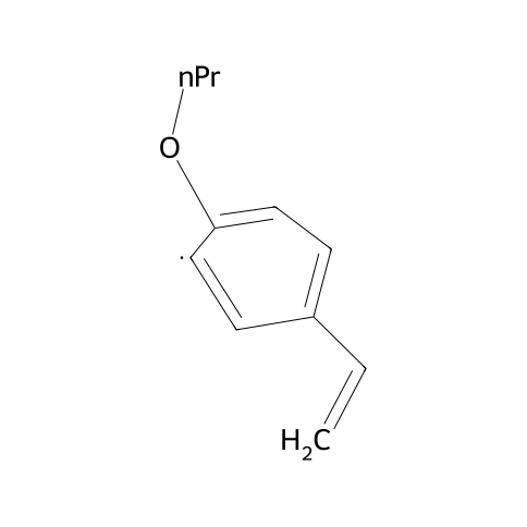 C=Cc1c[c]c(OCCC)cc1